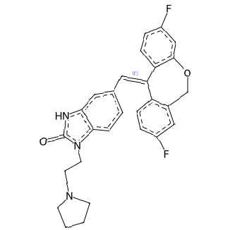 O=c1[nH]c2cc(/C=C3\c4ccc(F)cc4COc4cc(F)ccc43)ccc2n1CCN1CCCC1